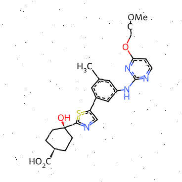 COCCOc1ccnc(Nc2cc(C)cc(-c3cnc([C@]4(O)CC[C@@H](C(=O)O)CC4)s3)c2)n1